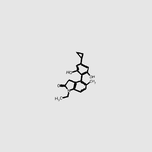 CCN1C(=O)Cc2c1ccc(C)c2-c1c(O)cc(C2CC2)cc1O